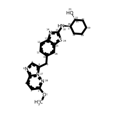 COc1ccc2ncc(Cc3ccc4nc(N[C@@H]5CCCC[C@H]5O)sc4c3)n2n1